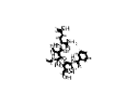 CCNC(=O)C(O[C@@H]([C@H](O)[C@H](O)CO)[C@H](C=O)NC(=O)c1ccccc1)C(CC)C(=O)NC(CCC(=O)O)C(N)=O